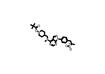 CC(Cc1ccc(-n2ncc3c(N(C)CC4CCN(OC(=O)C(C)(C)C)CC4)ncnc32)cc1)[SH](=O)=O